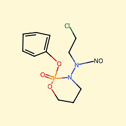 O=NN(CCCl)N1CCCOP1(=O)Oc1ccccc1